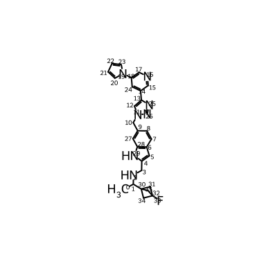 CC(NCc1cc2ccc(Cn3cc(-c4cncc(-n5cccc5)c4)nn3)cc2[nH]1)C12CC(F)(C1)C2